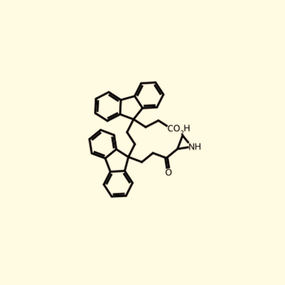 O=C(O)CCC1(CCC2(CCC(=O)C3CN3)c3ccccc3-c3ccccc32)c2ccccc2-c2ccccc21